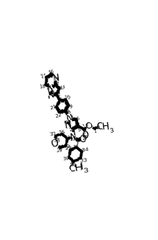 CCOC(=O)c1cn(-c2ccc(-c3cc4ncccn4n3)cc2)nc1N(C(=O)[C@H]1CC[C@H](C)CC1)C1CCOCC1